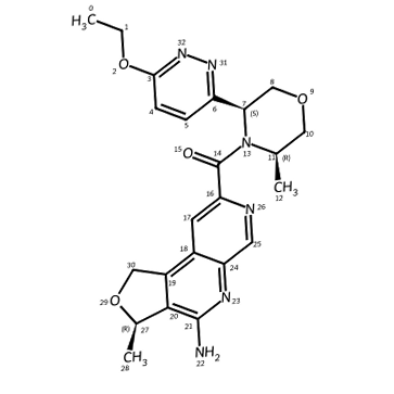 CCOc1ccc([C@H]2COC[C@@H](C)N2C(=O)c2cc3c4c(c(N)nc3cn2)[C@@H](C)OC4)nn1